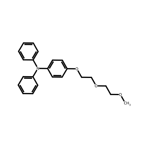 COCCOCCOc1ccc(N(c2ccccc2)c2ccccc2)cc1